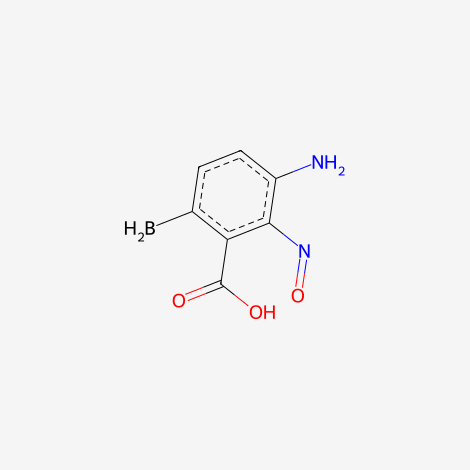 Bc1ccc(N)c(N=O)c1C(=O)O